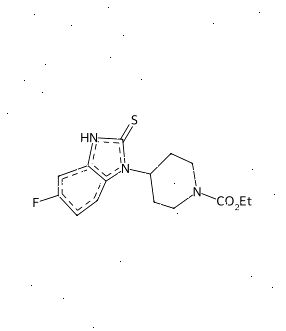 CCOC(=O)N1CCC(n2c(=S)[nH]c3cc(F)ccc32)CC1